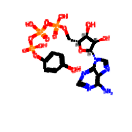 Nc1ncnc2c1ncn2[C@@H]1O[C@H](COP(=O)(O)OP(=O)(O)OP(=O)(O)Oc2ccc(O)cc2)[C@@H](O)[C@H]1O